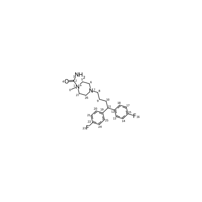 C[N+]1(C(N)=O)CCN(CCCC(c2ccc(F)cc2)c2ccc(F)cc2)CC1